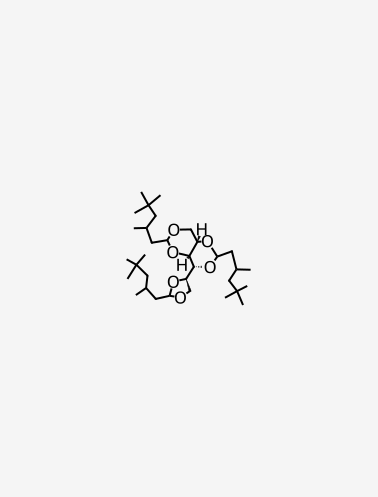 CC(CC1OC[C@@H]2OC(CC(C)CC(C)(C)C)O[C@H]([C@H]3COC(CC(C)CC(C)(C)C)O3)[C@@H]2O1)CC(C)(C)C